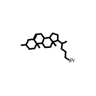 CC(C)CCCC(C)C1CCC2C3CC=C4CC(C)CCC4(C)C3CCC12C